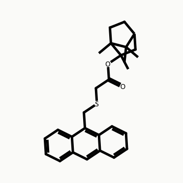 CC1(OC(=O)CSCc2c3ccccc3cc3ccccc23)CC2CCC1(C)C2(C)C